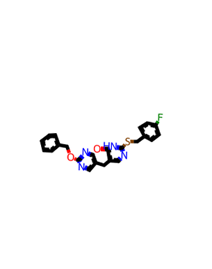 O=c1[nH]c(SCc2ccc(F)cc2)ncc1Cc1cnc(OCc2ccccc2)nc1